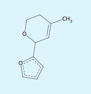 CC1=CC(c2ccco2)OCC1